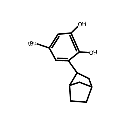 CC(C)(C)c1cc(O)c(O)c(C2CC3CCC2C3)c1